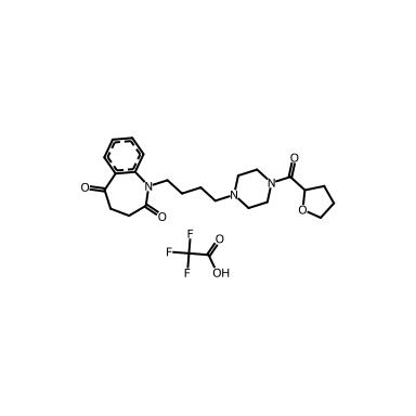 O=C(O)C(F)(F)F.O=C1CCC(=O)N(CCCCN2CCN(C(=O)C3CCCO3)CC2)c2ccccc21